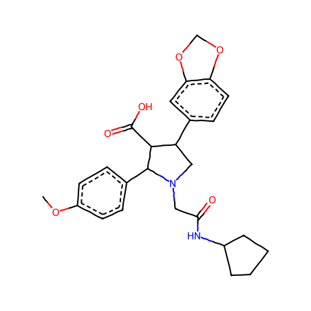 COc1ccc(C2C(C(=O)O)C(c3ccc4c(c3)OCO4)CN2CC(=O)NC2CCCC2)cc1